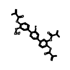 C=C(C)C(=O)Oc1ccc(-c2ccc(-c3ccc(OC(=O)C(=C)C)c(OC(=O)C(=C)C)c3)cc2F)cc1OC=O